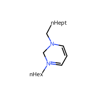 CCCCCCCCN1C=CC=[N+](CCCCCC)C1